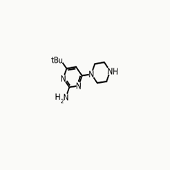 CC(C)(C)c1cc(N2CCNCC2)nc(N)n1